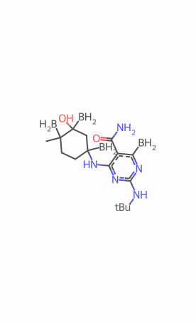 Bc1nc(NC(C)(C)C)nc(NC2(B)CCC(B)(C)C(B)(O)C2)c1C(N)=O